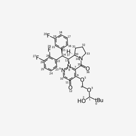 CC(C)(C)C(O)OCOc1c2n(ncc1=O)[C@@H]([C@H](c1cccc(F)c1)c1cccc(F)c1F)[C@H]1CCCN1C2=O